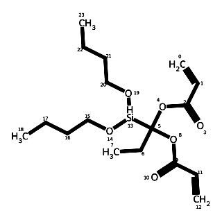 C=CC(=O)OC(CC)(OC(=O)C=C)[SiH](OCCCC)OCCCC